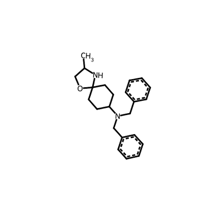 CC1COC2(CCC(N(Cc3ccccc3)Cc3ccccc3)CC2)N1